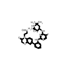 COCCN1C(=O)COc2cc(-c3ccccc3Nc3ncc(F)c(NC4CC(C)(C)NC(C)(C)C4)n3)ccc21